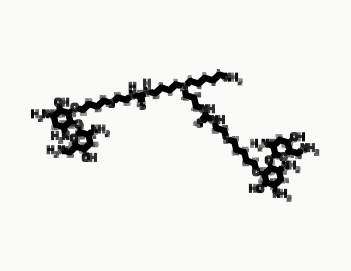 NCCCCCN(CCCCNC(=S)NCCSCCCCO[C@@H]1C(O)[C@H](N)CC(N)[C@@H]1O[C@@H]1OC(CN)[C@@H](O)CC1N)CCCNC(=S)NCCSCCCCCO[C@@H]1C(O)[C@H](N)CC(N)[C@@H]1O[C@@H]1OC(CN)[C@@H](O)CC1N